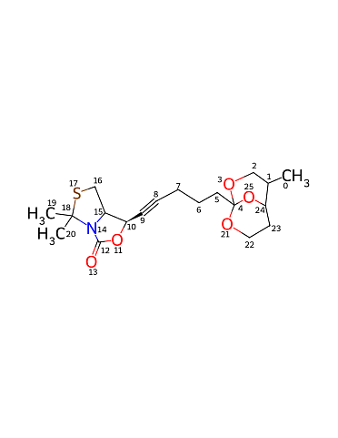 CC1COC2(CCCC#C[C@H]3OC(=O)N4C3CSC4(C)C)OCCC1O2